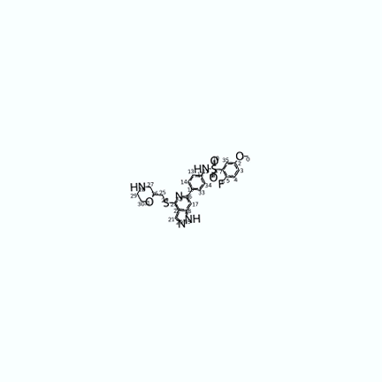 COc1ccc(F)c(S(=O)(=O)Nc2ccc(-c3cc4[nH]ncc4c(SCC4CNCCO4)n3)cc2)c1